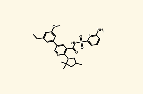 CCc1cc(OC)cc(-c2cnc(N3CC(C)CC3(C)C)c(C(=O)NS(=O)(=O)c3cccc(N)n3)c2)c1